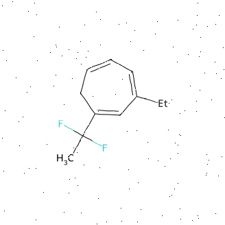 CCC1=CC=CCC(C(C)(F)F)=C1